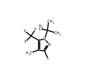 Cc1c(I)nn(C(C)(C)C)c1C(F)(F)F